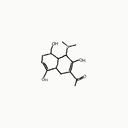 CC(=O)C1=C(O)C(N(C)C)C2C(O)CC=C(O)C2C1